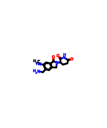 CNc1cc2c(cc1CN)CN(C1CCC(=O)NC1=O)C2=O